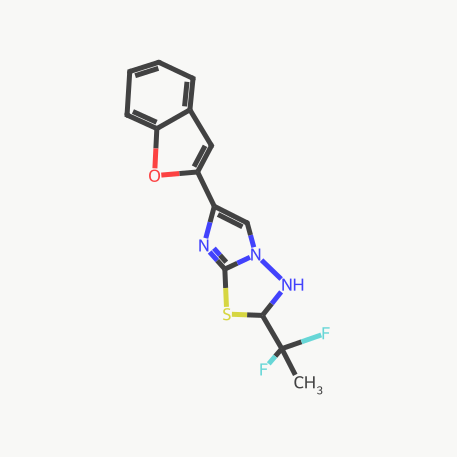 CC(F)(F)C1Nn2cc(-c3cc4ccccc4o3)nc2S1